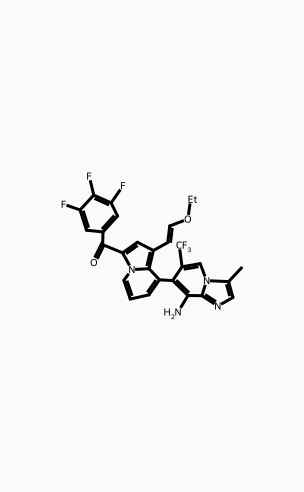 CCO/C=C/c1cc(C(=O)c2cc(F)c(F)c(F)c2)n2cccc(-c3c(C(F)(F)F)cn4c(C)cnc4c3N)c12